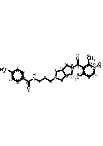 Cc1ccc(C(=O)NCCCN2CC3CN(C(=O)c4c(C)cc[n+]([O-])c4C)CC3C2)cc1